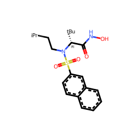 CC(C)CCN([C@@H](C(=O)NO)C(C)(C)C)S(=O)(=O)c1ccc2ccccc2c1